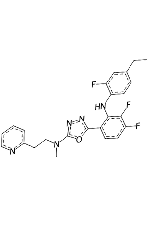 CCc1ccc(Nc2c(-c3nnc(N(C)CCc4ccccn4)o3)ccc(F)c2F)c(F)c1